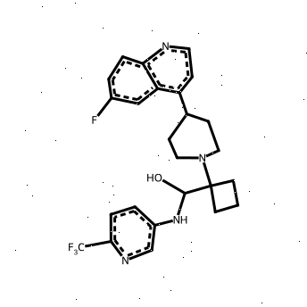 OC(Nc1ccc(C(F)(F)F)nc1)C1(N2CCC(c3ccnc4ccc(F)cc34)CC2)CCC1